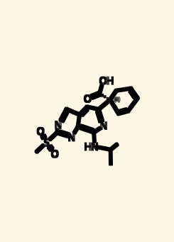 CC(C)Nc1nc([C@]2(C(=O)O)C=CC=CC2)cc2cnc(S(C)(=O)=O)nc12